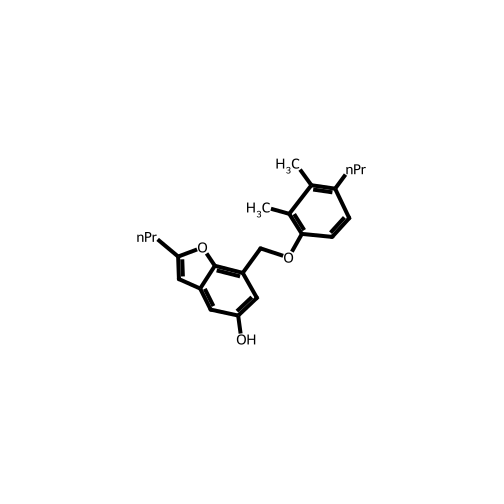 CCCc1cc2cc(O)cc(COc3ccc(CCC)c(C)c3C)c2o1